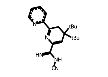 CC(C)(C)C1(C(C)(C)C)C=C(C(=N)NC#N)N=C(c2ccccn2)C1